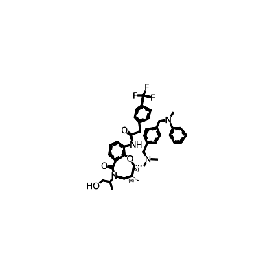 CC(CO)N1C[C@@H](C)[C@@H](CN(C)Cc2ccc(CN(C)c3ccccc3)cc2)Oc2c(NC(=O)Cc3ccc(C(F)(F)F)cc3)cccc2C1=O